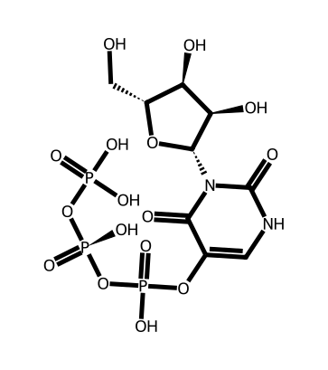 O=c1[nH]cc(OP(=O)(O)O[P@@](=O)(O)OP(=O)(O)O)c(=O)n1[C@@H]1O[C@H](CO)[C@@H](O)[C@H]1O